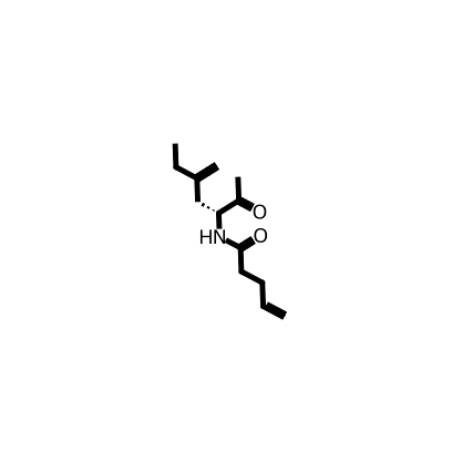 C=CCCC(=O)N[C@H](CC(=C)CC)C(C)=O